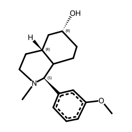 COc1cccc([C@@H]2C3CC[C@@H](O)C[C@H]3CCN2C)c1